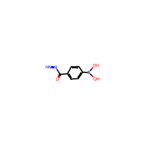 N=NC(=O)c1ccc(B(O)O)cc1